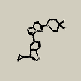 FC1(F)CCN(c2ccc3ncc(-c4ccc5[nH]nc(C6CC6)c5c4)n3n2)CC1